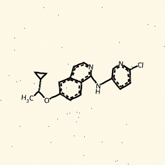 CC(Oc1ccc2c(Nc3ccc(Cl)nc3)nccc2c1)C1CC1